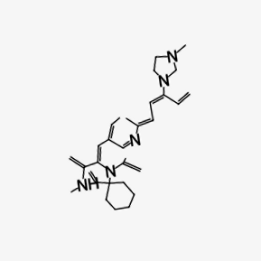 C=C\C(=C/C=C(C)/N=C\C(=C/C)\C=C(\C(=C)NC)N(C(=C)C)C1(C=C)CCCCC1)N1CCN(C)C1